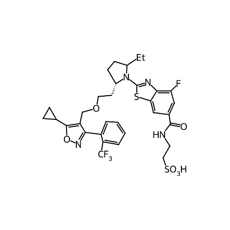 CCC1CC[C@@H](CCOCc2c(-c3ccccc3C(F)(F)F)noc2C2CC2)N1c1nc2c(F)cc(C(=O)NCCS(=O)(=O)O)cc2s1